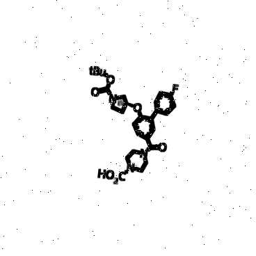 CC(C)(C)OC(=O)N1CC[C@H](Oc2ccc(C(=O)N3CCN(C(=O)O)CC3)cc2-c2ccc(F)cc2)C1